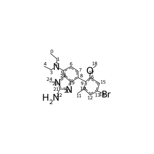 CCN(CC)c1ccc(-c2c(C)cc(Br)cc2OC)c2nc(N)n(C)c12